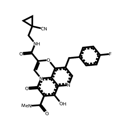 CNC(=O)c1c(O)c2ncc(Cc3ccc(F)cc3)c3c2n(c1=O)C=C(C(=O)NCC1(C#N)CC1)O3